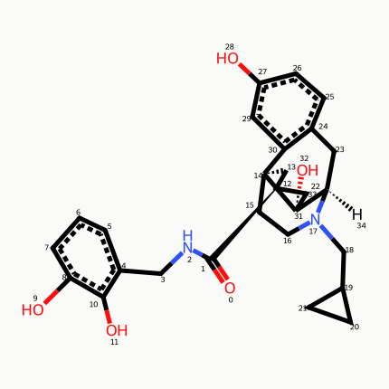 O=C(NCc1cccc(O)c1O)[C@H]1C[C@]23CCN(CC4CC4)[C@H](Cc4ccc(O)cc42)[C@]3(O)C1